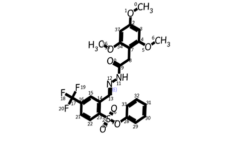 COc1cc(OC)c(CC(=O)N/N=C/c2cc(C(F)(F)F)ccc2S(=O)(=O)Oc2ccccc2)c(OC)c1